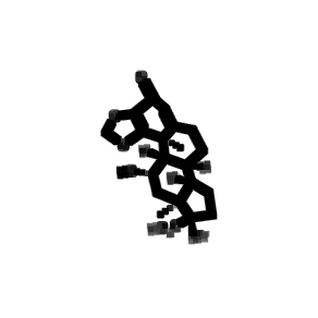 CCC[C@]1(C(=O)O)CC[C@H]2[C@@H]3CCC4=CC(=O)C5=C(OCO5)[C@]4(C)[C@H]3[C@@H](O)C[C@@]21C